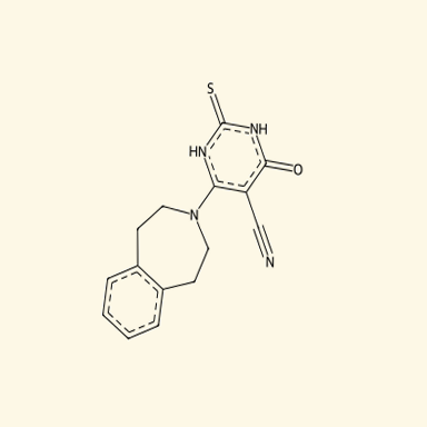 N#Cc1c(N2CCc3ccccc3CC2)[nH]c(=S)[nH]c1=O